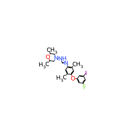 Cc1cc(Oc2cc(F)cc(I)c2)c(C)cc1N=CNN1CC(C)OC(C)C1